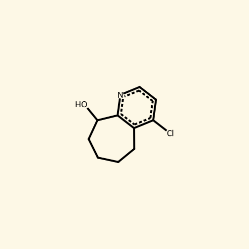 OC1CCCCc2c(Cl)ccnc21